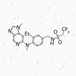 CCc1cc(CNS(=O)(=O)CC(F)(F)F)ccc1N(C)c1cc2c(cn1)ncn2C